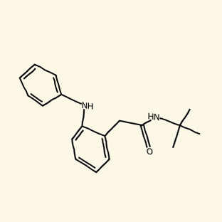 CC(C)(C)NC(=O)Cc1ccccc1Nc1ccccc1